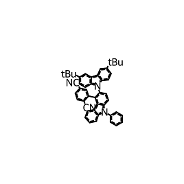 CC(C)(C)c1ccc2c(c1)c1cc(C(C)(C)C)ccc1n2-c1ccc2c(c1-c1cc(C#N)ccc1C#N)c1ccccc1n2-c1ccccc1